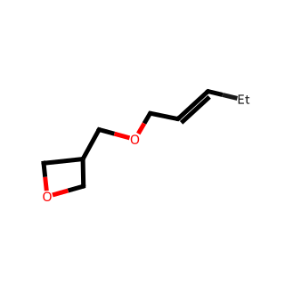 CCC=CCOCC1COC1